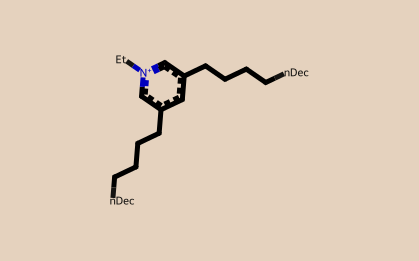 CCCCCCCCCCCCCCc1cc(CCCCCCCCCCCCCC)c[n+](CC)c1